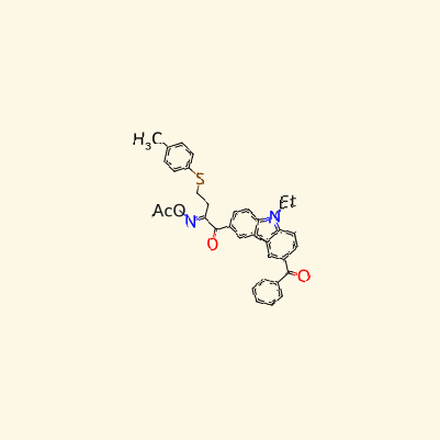 CCn1c2ccc(C(=O)/C(CCSc3ccc(C)cc3)=N/OC(C)=O)cc2c2cc(C(=O)c3ccccc3)ccc21